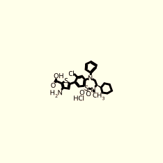 CN1[C@H](C2CCCCC2)CN(c2ccccc2)c2cc(Cl)c(-c3cc(N)c(C(=O)O)s3)cc2S1(=O)=O.Cl